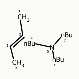 CC=CC.CCCCN(CCCC)CCCC